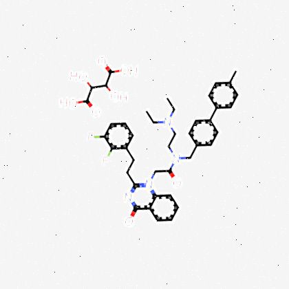 CCN(CC)CCN(Cc1ccc(-c2ccc(C)cc2)cc1)C(=O)Cn1c(CCc2cccc(F)c2F)nc(=O)c2ccccc21.O=C(O)C(O)C(O)C(=O)O